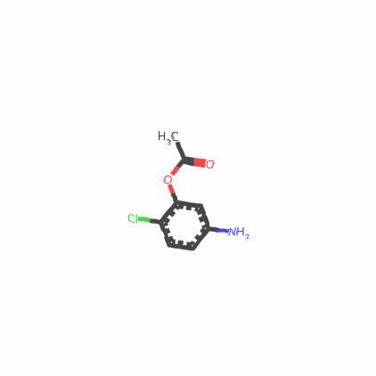 CC(=O)Oc1cc(N)ccc1Cl